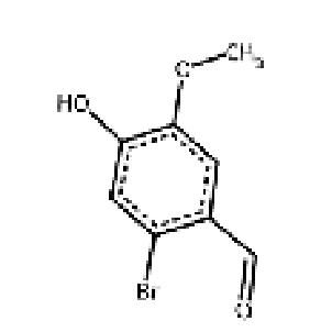 COc1cc(C=O)c(Br)cc1O